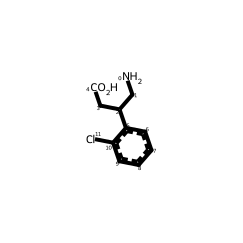 NCC(CC(=O)O)c1ccccc1Cl